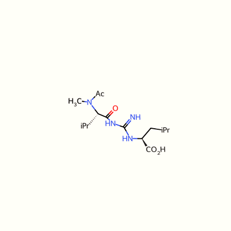 CC(=O)N(C)[C@H](C(=O)NC(=N)N[C@@H](CC(C)C)C(=O)O)C(C)C